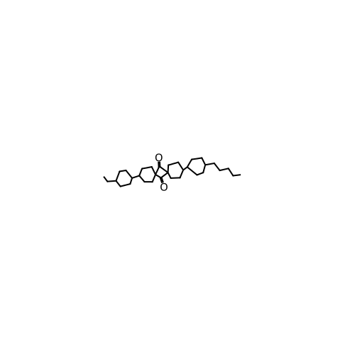 CCCCCC1CCC(C2CCC3(CC2)C(=O)C2(CCC(C4CCC(CC)CC4)CC2)C3=O)CC1